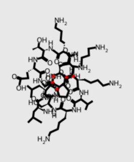 CC(C)C[C@H](NC(=O)[C@@H](N)CC(C)C)C(=O)N1CCC[C@H]1C(=O)N[C@@H](CCCCN)C(=O)N[C@@H](CCCCN)C(=O)N[C@H](C(=O)N[C@@H](CCC(=O)O)C(=O)N[C@@H](CO)C(=O)N[C@@H](CCC(N)=O)C(=O)N[C@@H](CCCCN)C(=O)N[C@H](C(=O)N[C@@H](CCCCN)C(=O)N[C@@H](CO)C(=O)N[C@@H](CCCCN)C(=O)O)C(C)C)[C@@H](C)O